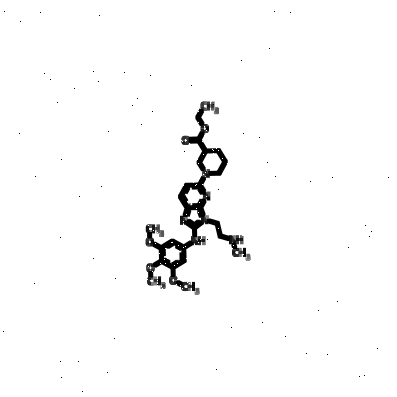 CCOC(=O)C1CCCN(c2ccc3nc(Nc4cc(OC)c(OC)c(OC)c4)n(CCNC)c3n2)C1